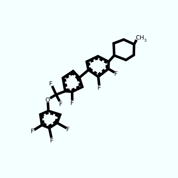 CC1CCC(c2ccc(-c3ccc(C(F)(F)Oc4cc(F)c(F)c(F)c4)c(F)c3)c(F)c2F)CC1